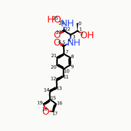 C[C@@H](O)C(NC(=O)c1ccc(/C=C/C=C/c2ccoc2)cc1)C(=O)NO